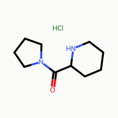 Cl.O=C(C1CCCCN1)N1CCCC1